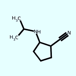 CC(C)NC1CCCC1C#N